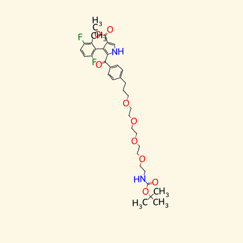 COC(=O)c1c[nH]c(C(=O)c2ccc(CCCOCCOCCOCCOCCNC(=O)OC(C)(C)C)cc2)c1-c1c(F)ccc(F)c1C